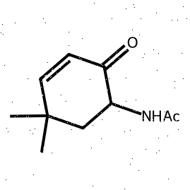 CC(=O)NC1CC(C)(C)C=CC1=O